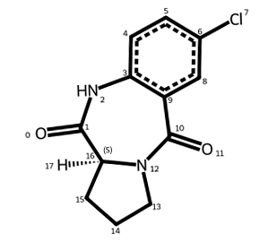 O=C1Nc2ccc(Cl)cc2C(=O)N2CCC[C@@H]12